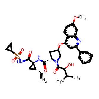 C=C[C@@H]1C[C@]1(NC(=O)[C@@H]1CC(Oc2cc(-c3ccccc3)nc3cc(OC)ccc23)CN1C(=O)[C@@H](O)C(C)C)C(=O)NS(=O)(=O)C1CC1